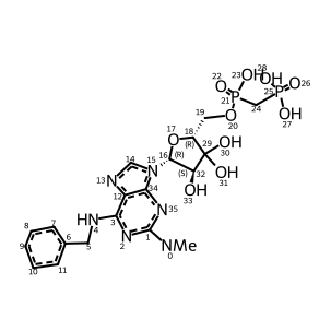 CNc1nc(NCc2ccccc2)c2ncn([C@@H]3O[C@H](COP(=O)(O)CP(=O)(O)O)C(O)(O)[C@H]3O)c2n1